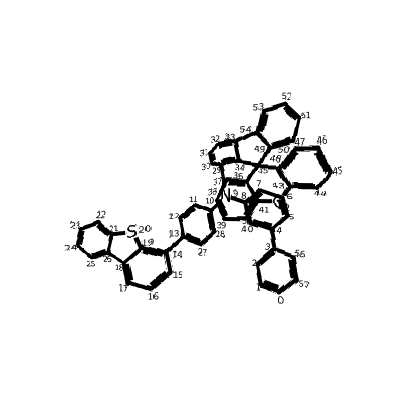 c1ccc(-c2cccc(N(c3ccc(-c4cccc5c4sc4ccccc45)cc3)c3cccc4c3C3(c5ccccc5Oc5ccccc53)c3ccccc3-4)c2)cc1